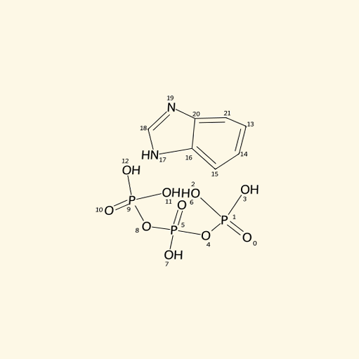 O=P(O)(O)OP(=O)(O)OP(=O)(O)O.c1ccc2[nH]cnc2c1